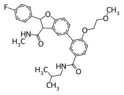 CNC(=O)C1c2cc(-c3cc(C(=O)NCC(C)C)ccc3OCCOC)ccc2OC1c1ccc(F)cc1